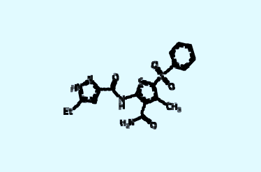 CCc1cc(C(=O)Nc2sc(S(=O)(=O)c3ccccc3)c(C)c2C(N)=O)n[nH]1